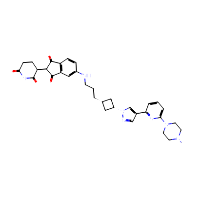 CN1CCN(c2cccc(-c3cnn([C@H]4C[C@H](CCCNc5ccc6c(c5)C(=O)C(C5CCC(=O)NC5=O)C6=O)C4)c3)n2)CC1